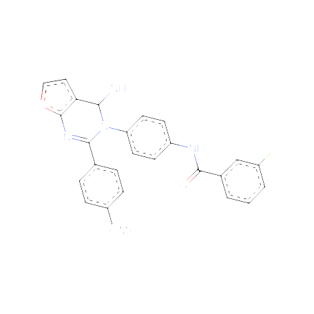 COc1ccc(C2=Nc3occc3C(N)N2c2ccc(NC(=O)c3cccc(F)c3)cc2)cc1